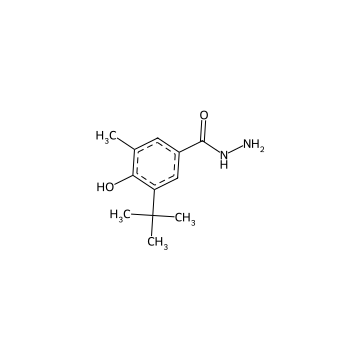 Cc1cc(C(=O)NN)cc(C(C)(C)C)c1O